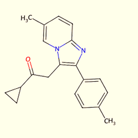 Cc1ccc(-c2nc3ccc(C)cn3c2CC(=O)C2CC2)cc1